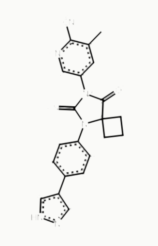 Cc1cc(N2C(=O)C3(CCC3)N(c3ccc(-c4cn[nH]c4)cc3)C2=S)cnc1C#N